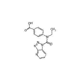 CCN(C(=O)n1nnc2ncccc21)c1ccc(C(=O)O)cc1